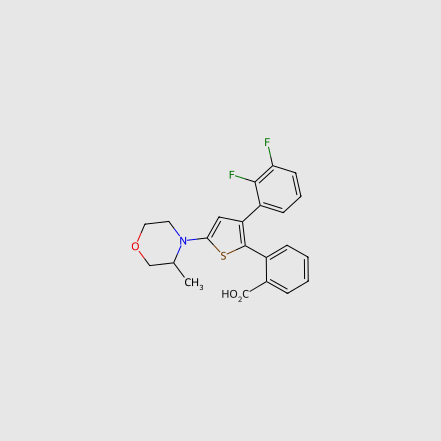 CC1COCCN1c1cc(-c2cccc(F)c2F)c(-c2ccccc2C(=O)O)s1